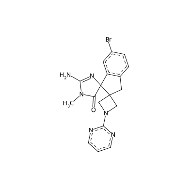 CN1C(=O)C2(N=C1N)c1cc(Br)ccc1CC21CN(c2ncccn2)C1